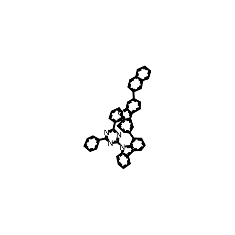 c1ccc(-c2nc(-c3ccccc3)nc(-n3c4ccccc4c4cccc(-c5ccc6oc7cc(-c8ccc9ccccc9c8)ccc7c6c5)c43)n2)cc1